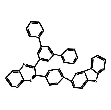 c1ccc(-c2cc(-c3ccccc3)cc(-c3nc4ccccc4nc3-c3ccc(-c4ccc5sc6ccccc6c5c4)cc3)c2)cc1